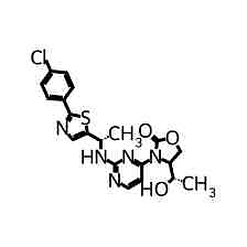 C[C@H](Nc1nccc(N2C(=O)OCC2[C@H](C)O)n1)c1cnc(-c2ccc(Cl)cc2)s1